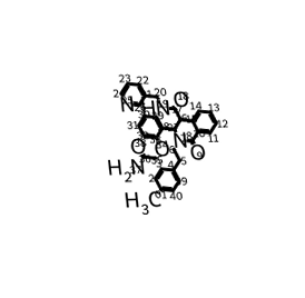 Cc1ccc(CCN2C(=O)c3ccccc3C(C(=O)NCc3cccnc3)C2c2ccccc2OCC(N)=O)cc1